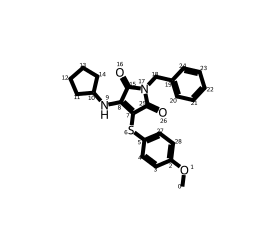 COc1ccc(SC2=C(NC3CCCC3)C(=O)N(Cc3ccccc3)C2=O)cc1